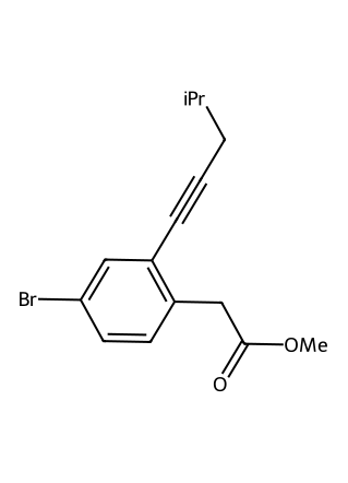 COC(=O)Cc1ccc(Br)cc1C#CCC(C)C